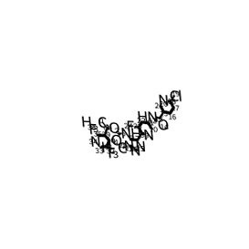 C[C@@H](OC(=O)Nc1c(-c2ncc(NC(=O)c3ccc(Cl)nc3)cc2F)nnn1C)c1cc(F)cnc1F